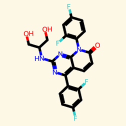 O=c1ccc2c(-c3ccc(F)cc3F)nc(NC(CO)CO)nc2n1-c1ccc(F)cc1F